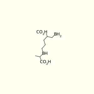 BCC(CCCBC(C)C(=O)O)C(=O)O